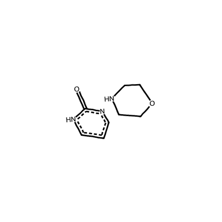 C1COCCN1.O=c1nccc[nH]1